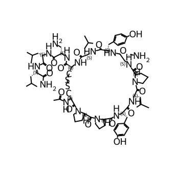 CC(=O)N[C@H]1CSSC[C@@H](C(=O)N[C@@H](CN)C(=O)N[C@@H](CC(C)C)C(=O)N[C@@H](CC(C)C)C(N)=O)NC(=O)[C@H](CC(C)C)NC(=O)[C@H](Cc2ccc(O)cc2)NC(=O)[C@H](CN)NC(=O)[C@@H]2CCCN2C(=O)[C@H](CC(C)C)NC(=O)[C@H](Cc2ccc(O)cc2)NC(=O)[C@@H]2CCCN2C(=O)[C@@H]2CCCN2C1=O